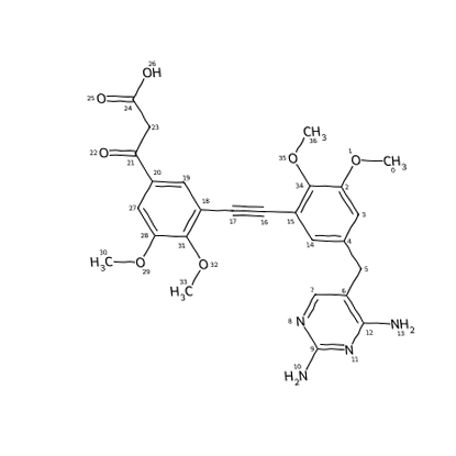 COc1cc(Cc2cnc(N)nc2N)cc(C#Cc2cc(C(=O)CC(=O)O)cc(OC)c2OC)c1OC